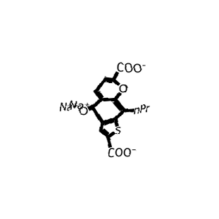 CCCc1c2oc(C(=O)[O-])ccc-2c(=O)c2cc(C(=O)[O-])sc12.[Na+].[Na+]